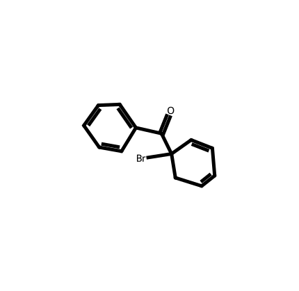 O=C(c1ccccc1)C1(Br)C=CC=CC1